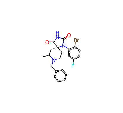 C[C@H]1C[C@]2(CCN1Cc1ccccc1)C(=O)NC(=O)N2c1cc(F)ccc1Br